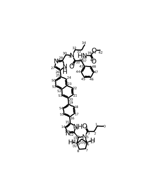 CCCC(=O)N1[C@@H]2CC[C@@H](C2)[C@H]1c1ncc(-c2ccc(-c3ccc4cc(-c5cnc(CN(CCC)C(=O)[C@H](NC(=O)OC)c6ccccc6)[nH]5)ccc4c3)cc2)[nH]1